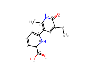 CCc1cc(C2=CC=C[C@H](C(=O)O)N2)c(C)[nH]c1=O